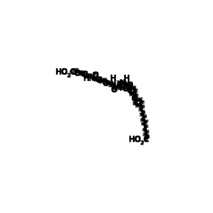 O=C(O)CCCCCCCCCCCCCc1ccc(OCc2ccc(S(=O)(=O)Nc3ncc(C(=O)NCCOCCOCC(=O)NCCOCCOCC(=O)O)cn3)cc2)cc1